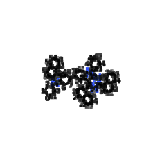 c1ccc(-n2c3ccc(-c4ccc5c(c4)c4c(-c6cccc7ccccc67)nc(-c6cccc7ccccc67)nc4n5-c4ccccc4)cc3c3c4ccccc4ccc32)cc1